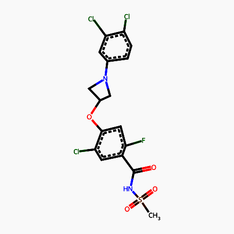 CS(=O)(=O)NC(=O)c1cc(Cl)c(OC2CN(c3ccc(Cl)c(Cl)c3)C2)cc1F